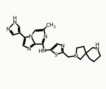 Cc1cn2c(-c3cn[nH]c3)cnc2c(Nc2cnc(CN3CCC4(CCCNC4)C3)s2)n1